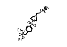 CCOP(=O)(Cc1ccc(S(=O)(=O)N2CCN(CCO[Si](C)(C)C(C)(C)C)CC2)cc1)OCC